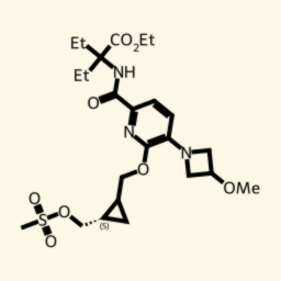 CCOC(=O)C(CC)(CC)NC(=O)c1ccc(N2CC(OC)C2)c(OCC2C[C@@H]2COS(C)(=O)=O)n1